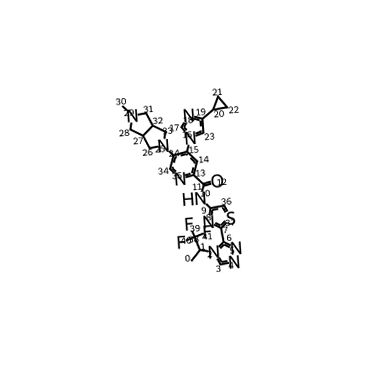 CC(n1cnnc1-c1nc(NC(=O)c2cc(-n3cnc(C4CC4)c3)c(N3CC4CN(C)CC4C3)cn2)cs1)C(F)(F)F